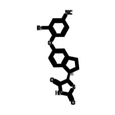 [C-]#[N+]c1ccc(Oc2ccc3c(c2)CC[C@H]3C2SC(=O)NC2=O)c(Br)c1